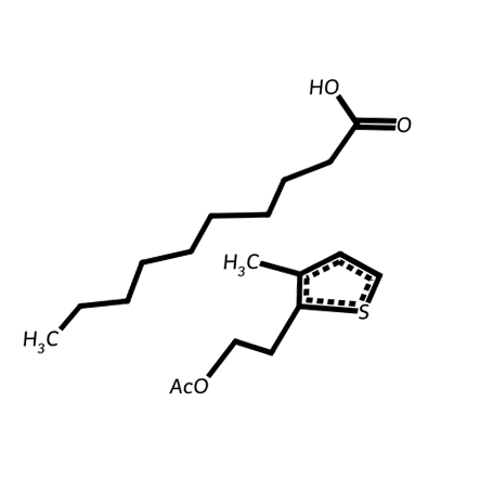 CC(=O)OCCc1sccc1C.CCCCCCCCCC(=O)O